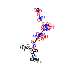 CCN(CC)c1ccc2c(c1)CC1=CC(=[N+](CC)CC)C=CC1=C2c1ccccc1C(=O)N1CCN(C(=O)CCCCC(=O)NC(CS(=O)(=O)O)C(=O)NCCCCC(=O)NC(COP(=O)(O)O)C(=O)NCCCCC(=O)NCCOCCN2C(=O)C=CC2=O)CC1